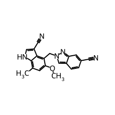 COc1cc(C)c2[nH]cc(C#N)c2c1Cn1cc2ccc(C#N)cc2n1